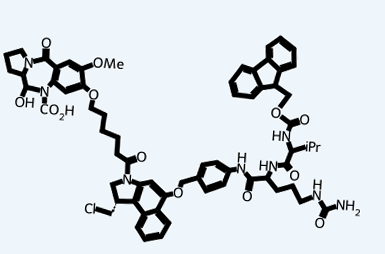 COc1cc2c(cc1OCCCCCC(=O)N1C[C@@H](CCl)c3c1cc(OCc1ccc(NC(=O)C(CCCNC(N)=O)NC(=O)C(NC(=O)OCC4c5ccccc5-c5ccccc54)C(C)C)cc1)c1ccccc31)N(C(=O)O)C(O)C1CCCN1C2=O